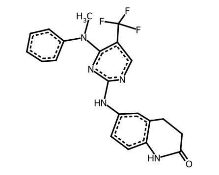 CN(c1ccccc1)c1nc(Nc2ccc3c(c2)CCC(=O)N3)ncc1C(F)(F)F